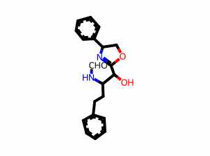 O=[C]NC(CCc1ccccc1)C(O)C1=NC(c2ccccc2)CO1